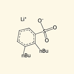 CCCCc1cccc(S(=O)(=O)[O-])c1CCCC.[Li+]